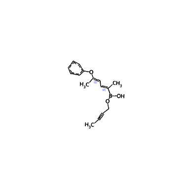 CC#CCOB(O)/C(C)=C/C=C(\C)Oc1ccccc1